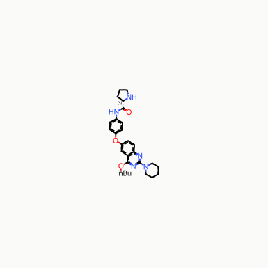 CCCCOc1nc(N2CCCCC2)nc2ccc(Oc3ccc(NC(=O)[C@@H]4CCCN4)cc3)cc12